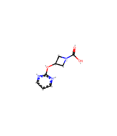 O=C(O)N1CC(Oc2ncccn2)C1